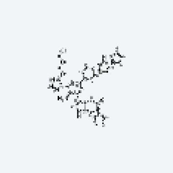 CCOCOc1[nH]nnc1C(N)C(N)=C(OCc1ccccc1)c1c[nH]c2ccc(Cl)cc12.c1c[nH]nn1.c1c[nH]nn1.c1c[nH]nn1